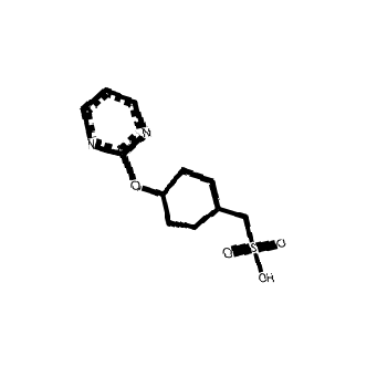 O=S(=O)(O)CC1CCC(Oc2ncccn2)CC1